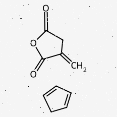 C1=CCC=C1.C=C1CC(=O)OC1=O